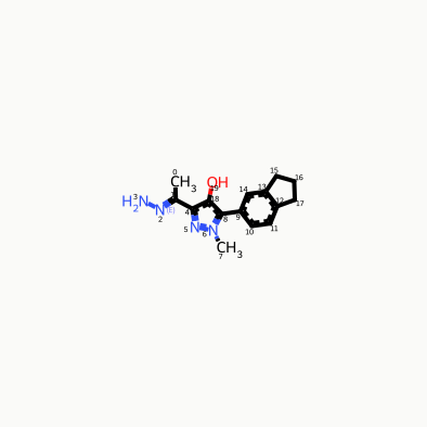 C/C(=N\N)c1nn(C)c(-c2ccc3c(c2)CCC3)c1O